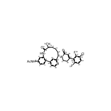 CC(=O)Nc1ccc2c(c1)NC(=O)C(C)CCC[C@H](N1CCC(c3c(F)ccc(Cl)c3F)=CC1=O)c1cc-2ccn1